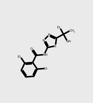 CCCC(C)(CC)c1nnc(NC(=O)c2c(CC)cccc2CC)s1